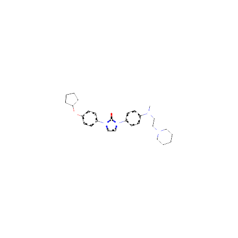 CN(CCN1CCCCC1)c1ccc(-n2ccn(-c3ccc(OC4CCCC4)cc3)c2=O)cc1